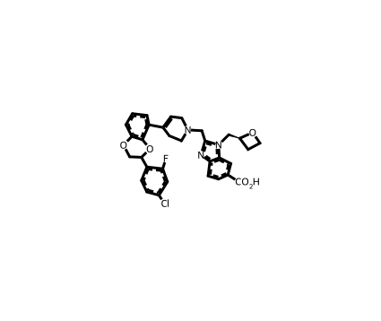 O=C(O)c1ccc2nc(CN3CC=C(c4cccc5c4OC(c4ccc(Cl)cc4F)CO5)CC3)n(C[C@@H]3CCO3)c2c1